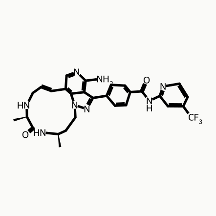 C[C@@H]1CCn2nc(-c3ccc(C(=O)Nc4cc(C(F)(F)F)ccn4)cc3)c3c(N)ncc(c32)/C=C/CN[C@H](C)C(=O)N1